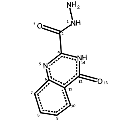 NNC(=O)c1nc2ccccc2c(=O)[nH]1